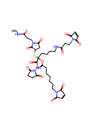 CCCCNC(=O)CCN1C(=O)CC(SC(CCCCNC(=O)CCN2C(=O)C=CC2=O)(OC(=N)CCCCCCN2C(=O)C=CC2=O)C(=O)ON2C(=O)CCC2=O)C1=O